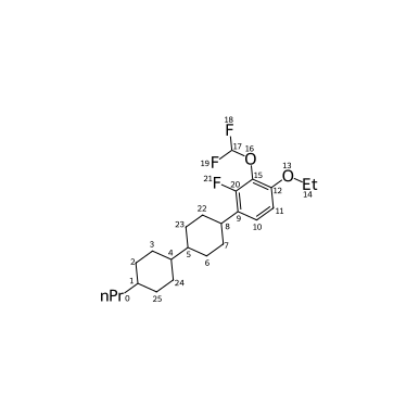 CCCC1CCC(C2CCC(c3ccc(OCC)c(OC(F)F)c3F)CC2)CC1